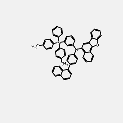 Cc1ccc([Si](c2ccccc2)(c2ccc(C)cc2)c2cccc(N(c3ccc(-c4cccc5ccccc45)cc3)c3cc4c5ccccc5oc4c4ccccc34)c2)cc1